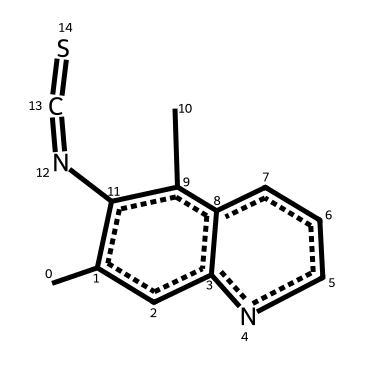 Cc1cc2ncccc2c(C)c1N=C=S